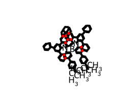 CC(C)(C)c1ccc(-c2ccc3c(c2)B2c4cc(-c5ccc(C(C)(C)C)cc5)ccc4N(c4c(-c5ccccc5)cc(-c5ccccc5)cc4-c4ccccc4)c4cc(N5C6CC7CC(C6)CC5C7)cc(c42)N3c2c(-c3ccccc3)cc(-c3ccccc3)cc2-c2ccccc2)cc1